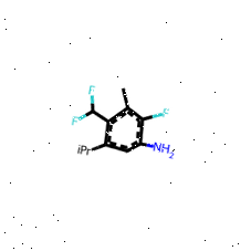 Cc1c(F)c(N)cc(C(C)C)c1C(F)F